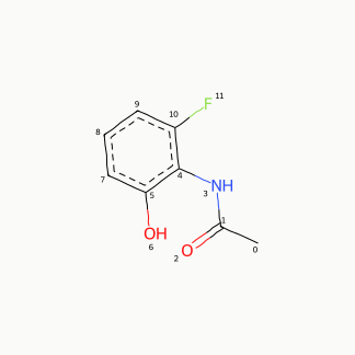 CC(=O)Nc1c(O)cccc1F